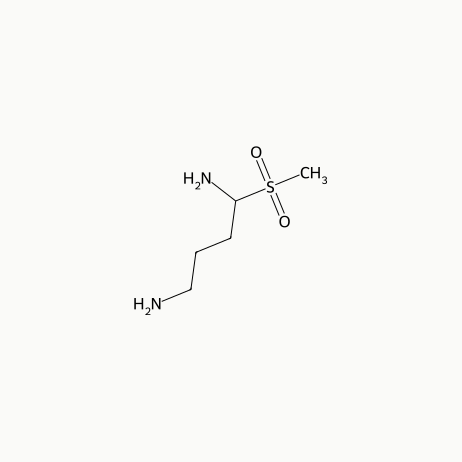 CS(=O)(=O)C(N)CCCN